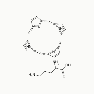 C1=Cc2cc3ccc(cc4nc(cc5ccc(cc1n2)[nH]5)C=C4)[nH]3.NCCCC(N)C(=O)O